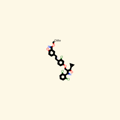 COCOc1noc2ccc(/C=C/c3ccc(OCc4c(-c5c(Cl)cccc5Cl)noc4C4CC4)cc3Cl)cc12